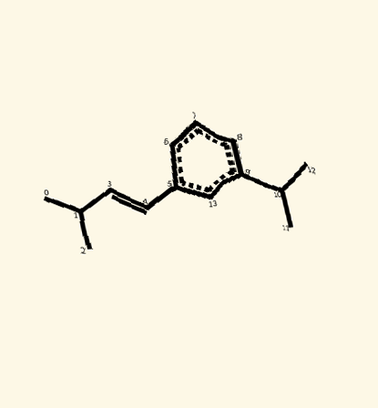 CC(C)C=Cc1cccc(C(C)C)c1